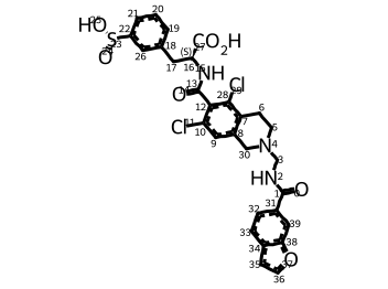 O=C(NCN1CCc2c(cc(Cl)c(C(=O)N[C@@H](Cc3cccc(S(=O)O)c3)C(=O)O)c2Cl)C1)c1ccc2ccoc2c1